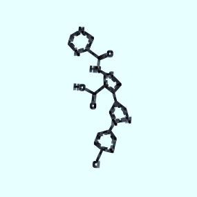 O=C(Nc1scc(-c2cnn(-c3ccc(Cl)cc3)c2)c1C(=O)O)c1cnccn1